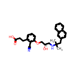 CC(C)(Cc1ccc2ccccc2c1)NC[C@H](O)COc1cccc(CCC(=O)O)c1C#N